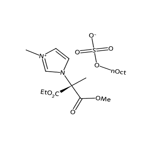 CCCCCCCCOS(=O)(=O)[O-].CCOC(=O)[C@@](C)(C(=O)OC)n1cc[n+](C)c1